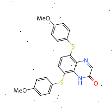 COc1ccc(Sc2ccc(Sc3ccc(OC)cc3)c3[nH]c(=O)cnc23)cc1